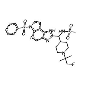 CC(C)(CF)N1CCC(C(NS(C)(=O)=O)c2nc3cnc4c(ccn4S(=O)(=O)c4ccccc4)c3[nH]2)CC1